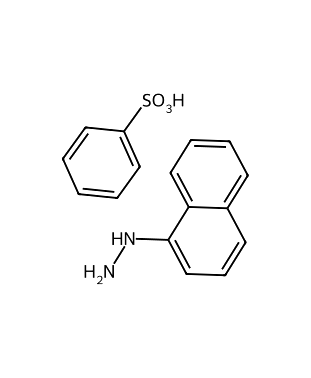 NNc1cccc2ccccc12.O=S(=O)(O)c1ccccc1